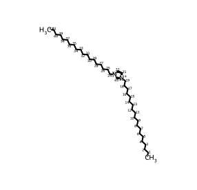 CCCCCCCCCCCCCCCCCCCC[n+]1ccn(CCCCCCCCCCCCCCCCCCC)c1